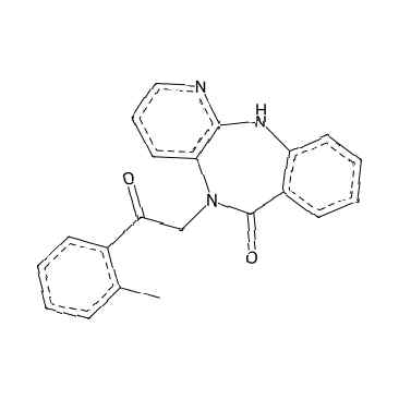 Cc1ccccc1C(=O)CN1C(=O)c2ccccc2Nc2ncccc21